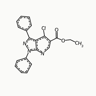 CCOC(=O)c1cnc2c(c(-c3ccccc3)nn2-c2ccccc2)c1Cl